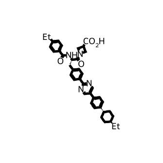 CCc1ccc(C(=O)N[C@@H](Cc2ccc(-c3ncc(-c4ccc([C@H]5CC[C@H](CC)CC5)cc4)cn3)cc2)C(=O)N2CC(C(=O)O)C2)cc1